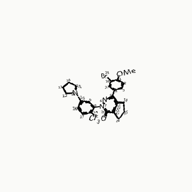 COc1ccc(-c2nn(-c3cc(N4CCCC4)ccc3C(F)(F)F)c(=O)c3c2CCC3)cc1Br